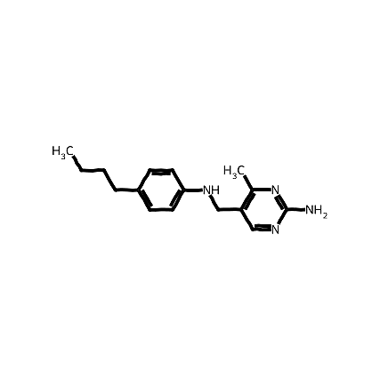 CCCCc1ccc(NCc2cnc(N)nc2C)cc1